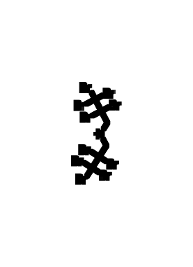 BrC(Br)(Br)C(Br)(Br)C[N]CC(Br)(Br)C(Br)(Br)Br